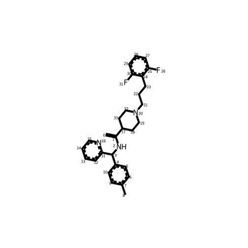 C=C(NC(c1ccc(C)cc1)c1ccccn1)C1CCN(CCCc2c(F)cccc2F)CC1